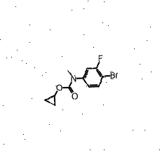 CN(C(=O)OC1CC1)c1ccc(Br)c(F)c1